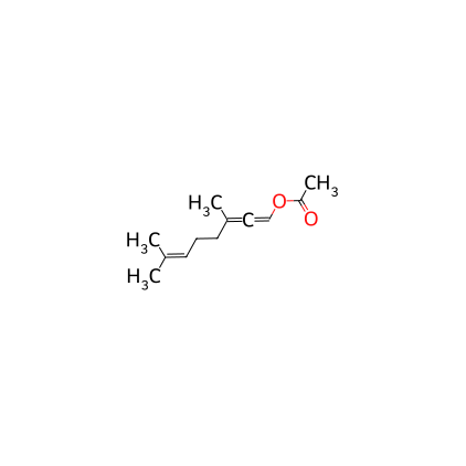 CC(=O)OC=C=C(C)CCC=C(C)C